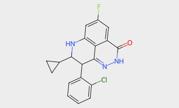 O=c1[nH]nc2c3c(cc(F)cc13)NC(C1CC1)C2c1ccccc1Cl